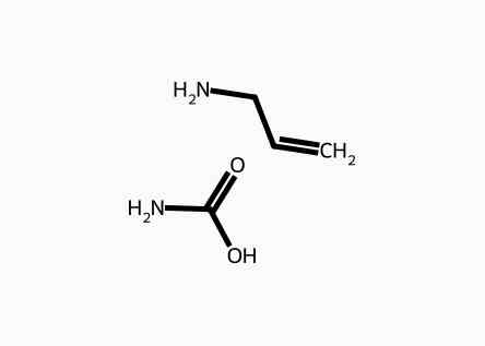 C=CCN.NC(=O)O